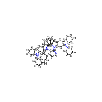 N#Cc1cccc(-c2ccnc(-n3c4ccccc4c4cc5c6ccccc6n(-c6ccccc6)c5cc43)c2-n2c3ccccc3c3cc4c5ccccc5n(-c5ccccc5)c4cc32)c1